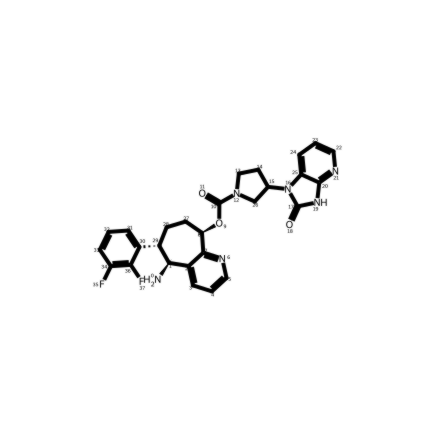 N[C@@H]1c2cccnc2[C@H](OC(=O)N2CCC(n3c(=O)[nH]c4ncccc43)C2)CC[C@H]1c1cccc(F)c1F